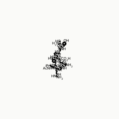 CC(=O)N[C@@H](CC(C)C)C(=O)N[C@@H](Cc1ccc(O)cc1)C(=O)N[C@@H](CCCNC(=N)N)C(=O)N[C@@H](C)C(=O)N[C@@H](CC(N)=O)C(=O)N[C@H](C(=O)N[C@@H](CC(=O)O)C(=O)N[C@@H](CO)C(=O)N1CCC[C@H]1C(=O)NCC(=O)N[C@@H](Cc1ccc(O)cc1)C(=O)N[C@@H](CO)C(N)=O)C(C)C